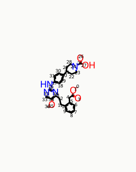 COC(=O)Cc1ccccc1CCc1nc(Nc2ccc(C3CCN(C(=O)O)CC3)cc2)ncc1OC